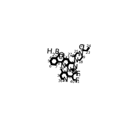 BC(=O)c1ccccc1-c1nc2c(cc1Cl)c(N1CCN(C(=O)C=C)C[C@@H]1C)nc(=O)n2-c1c(C)ccnc1C(CF)CF